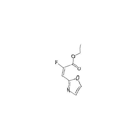 CCOC(=O)/C(F)=C\c1ncco1